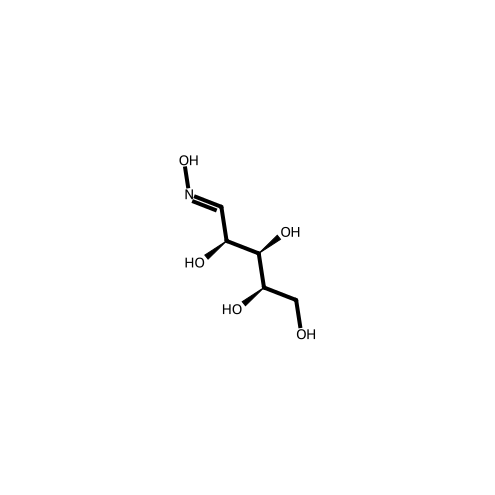 OC[C@@H](O)[C@H](O)[C@@H](O)C=NO